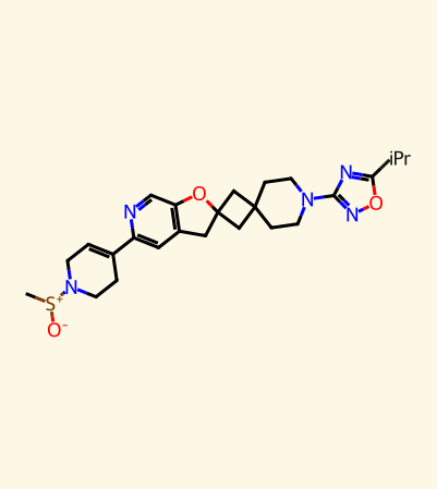 CC(C)c1nc(N2CCC3(CC2)CC2(Cc4cc(C5=CCN([S+](C)[O-])CC5)ncc4O2)C3)no1